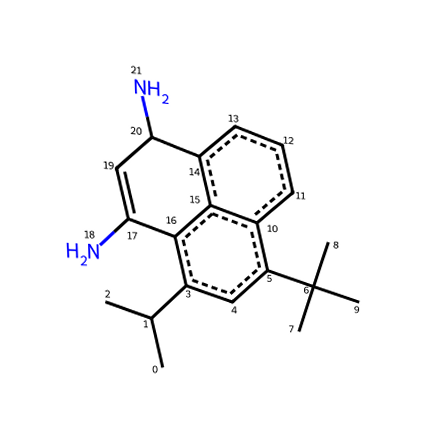 CC(C)c1cc(C(C)(C)C)c2cccc3c2c1C(N)=CC3N